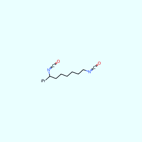 CC(C)C(CCCCCCN=C=O)N=C=O